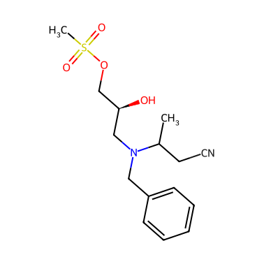 CC(CC#N)N(Cc1ccccc1)C[C@H](O)COS(C)(=O)=O